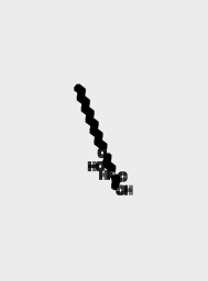 CCCCCCCCCCCCOCC(O)CNC(=O)CO